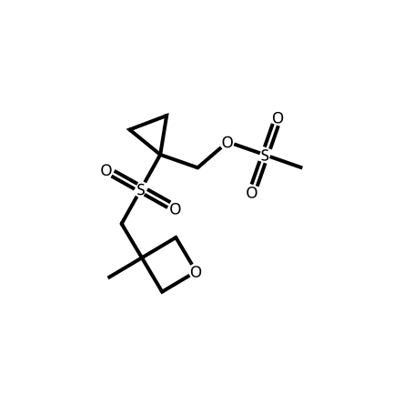 CC1(CS(=O)(=O)C2(COS(C)(=O)=O)CC2)COC1